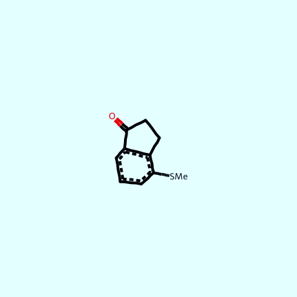 CSc1cccc2c1CCC2=O